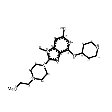 COCCN1CCN(c2nc3c(OC4CCOCC4)nc(Cl)cc3n2C)CC1